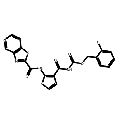 O=C(NC(=O)c1ccsc1NC(=O)c1nc2cnccc2s1)OCc1ccccc1F